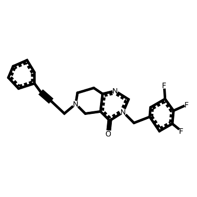 O=c1c2c(ncn1Cc1cc(F)c(F)c(F)c1)CCN(CC#Cc1ccccc1)C2